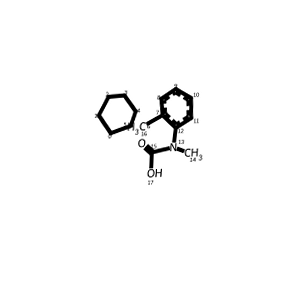 C1CCCCC1.Cc1ccccc1N(C)C(=O)O